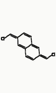 Cl/C=c1/ccc2c/c(=C\Cl)ccc2c1